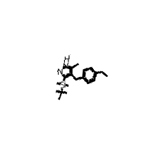 CCc1ccc(Cc2c([Si](C)(C)C(C)(C)C)n[nH]c2C)cc1